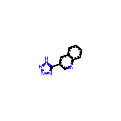 c1ccc2ncc(-c3nnn[nH]3)cc2c1